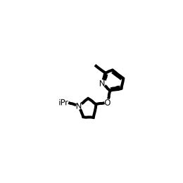 Cc1cccc(OC2CCN(C(C)C)C2)n1